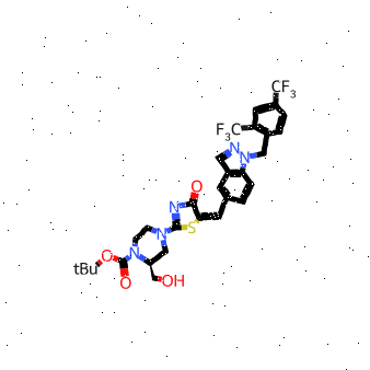 CC(C)(C)OC(=O)N1CCN(C2=NC(=O)C(=Cc3ccc4c(cnn4Cc4ccc(C(F)(F)F)cc4C(F)(F)F)c3)S2)C[C@H]1CO